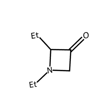 CCC1C(=O)CN1CC